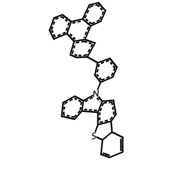 C1=CC2Sc3c(ccc4c3c3ccccc3n4-c3cccc(-c4ccc5c6ccccc6c6ccccc6c5c4)c3)C2C=C1